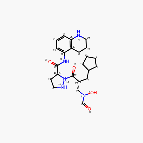 O=CN(O)C[C@@H](CC1CCCC1)C(=O)N1NCC[C@H]1C(=O)Nc1cccc2c1CCCN2